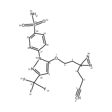 C#CCCC1(CCOc2cc(C(F)(F)F)nn2-c2ccc(S(N)(=O)=O)cc2)N=N1